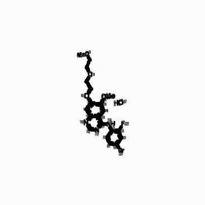 COCCOCCOc1cc2ncnc(Nc3ccc(Br)cc3F)c2cc1OC.Cl